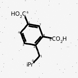 CC(C)Cc1ccc(C(=O)O)cc1C(=O)O